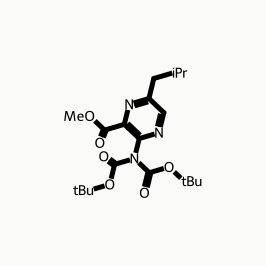 COC(=O)c1nc(CC(C)C)cnc1N(C(=O)OC(C)(C)C)C(=O)OC(C)(C)C